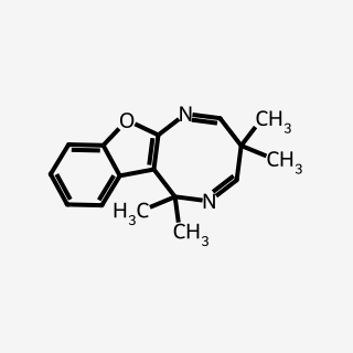 CC1(C)/C=N\c2oc3ccccc3c2C(C)(C)/N=C\1